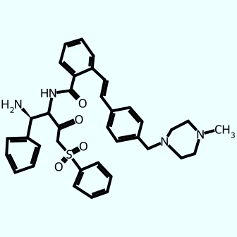 CN1CCN(Cc2ccc(C=Cc3ccccc3C(=O)NC(C(=O)CS(=O)(=O)c3ccccc3)[C@H](N)c3ccccc3)cc2)CC1